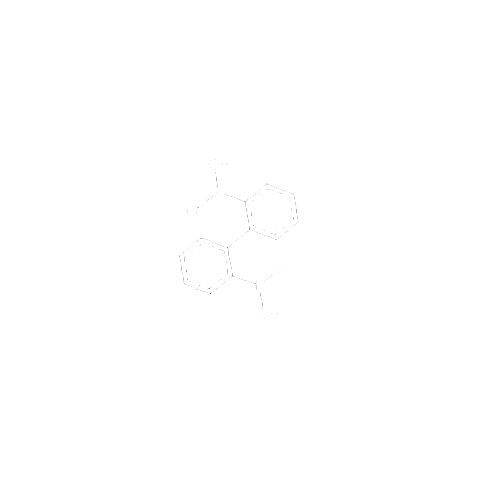 OP(Cl)c1ccccc1-c1ccccc1P(O)Cl